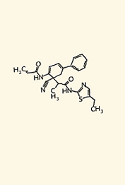 C=CC(=O)NC1=CC=C(c2ccccc2)CC1(C#N)C(C)C(=O)Nc1ncc(CC)s1